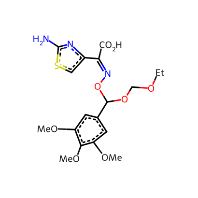 CCOCOC(ON=C(C(=O)O)c1csc(N)n1)c1cc(OC)c(OC)c(OC)c1